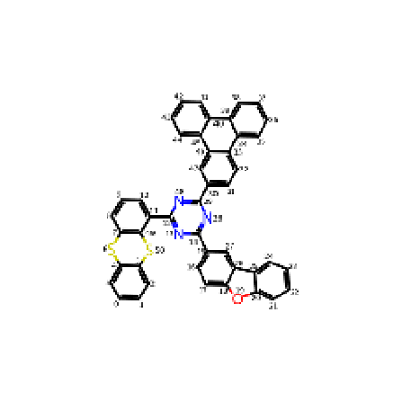 c1ccc2c(c1)Sc1cccc(-c3nc(-c4ccc5oc6ccccc6c5c4)nc(-c4ccc5c6ccccc6c6ccccc6c5c4)n3)c1S2